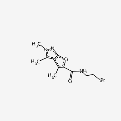 Cc1c(C(=O)NCCC(C)C)oc2nn(C)c(C)c12